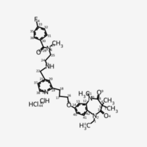 CCN1C(=O)C(C)(C)C(=O)N(C)c2cc(OCCCc3cc(CNCCN(C)C(=O)c4ccc(F)cc4)ccn3)ccc21.Cl.Cl